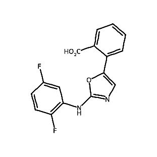 O=C(O)c1ccccc1-c1cnc(Nc2cc(F)ccc2F)o1